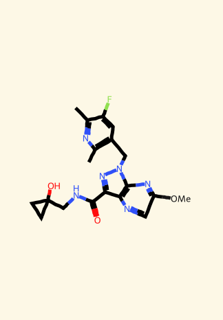 COc1cnc2c(C(=O)NCC3(O)CC3)nn(Cc3cc(F)c(C)nc3C)c2n1